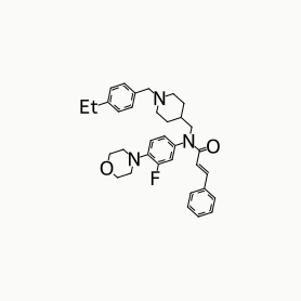 CCc1ccc(CN2CCC(CN(C(=O)C=Cc3ccccc3)c3ccc(N4CCOCC4)c(F)c3)CC2)cc1